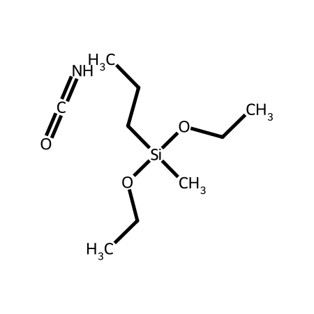 CCC[Si](C)(OCC)OCC.N=C=O